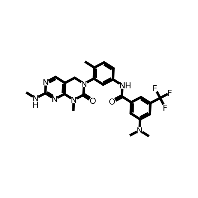 CNc1ncc2c(n1)N(C)C(=O)N(c1cc(NC(=O)c3cc(N(C)C)cc(C(F)(F)F)c3)ccc1C)C2